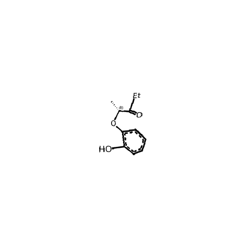 CCC(=O)[C@@H](C)Oc1ccccc1O